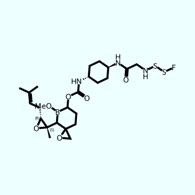 COB1C(OC(=O)N[C@H]2CC[C@H](NC(=O)CNSSF)CC2)CCC2(CO2)C1[C@]1(C)O[C@@H]1CC=C(C)C